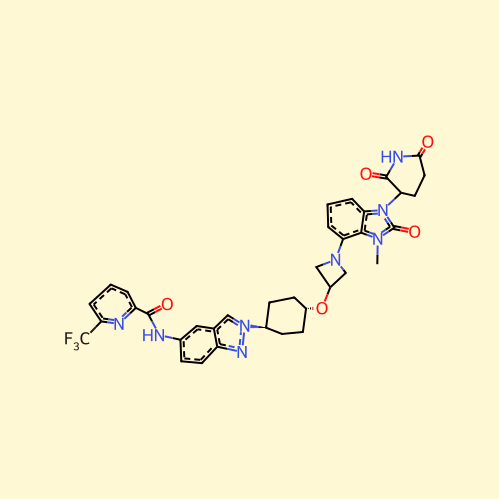 Cn1c(=O)n(C2CCC(=O)NC2=O)c2cccc(N3CC(O[C@H]4CC[C@H](n5cc6cc(NC(=O)c7cccc(C(F)(F)F)n7)ccc6n5)CC4)C3)c21